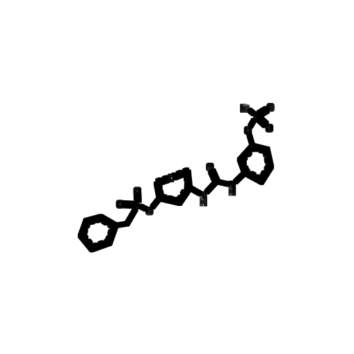 CCS(=O)(=O)Oc1cccc(NC(=O)Nc2cccc(OS(=O)(=O)Cc3ccccc3)c2)c1